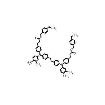 C=Cc1ccc(COC(=O)CCc2ccc(N(c3ccc(CCc4ccc(N(c5ccc(CCC(=O)OCc6ccc(C=C)cc6)cc5)c5ccc(C)c(C)c5)cc4)cc3)c3ccc(C)c(C)c3)cc2)cc1